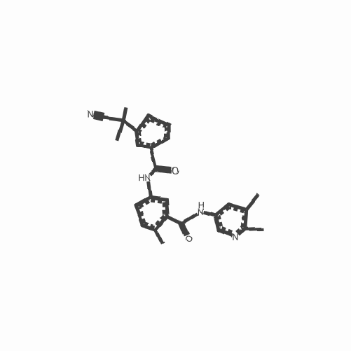 Cc1ccc(NC(=O)c2cccc(C(C)(C)C#N)c2)cc1C(=O)Nc1cnc(C)c(C)c1